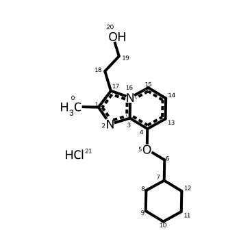 Cc1nc2c(OCC3CCCCC3)cccn2c1CCO.Cl